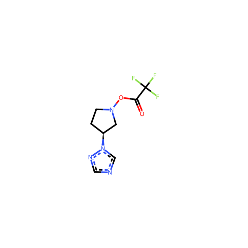 O=C(ON1CC[C@H](n2cncn2)C1)C(F)(F)F